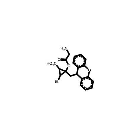 CCC1C(C(=O)O)C1(CC1c2ccccc2Oc2ccccc21)OC(=O)CN